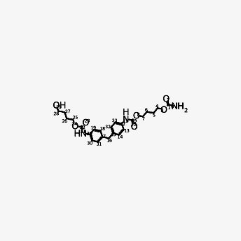 NC(=O)OCCCCOC(=O)Nc1ccc(Cc2ccc(NC(=O)OCCCCO)cc2)cc1